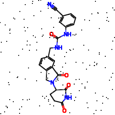 N#Cc1cccc(NC(=O)NCc2ccc3c(c2)C(=O)N(C2CCC(=O)NC2=O)C3)c1